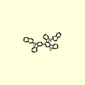 c1ccc2cc(-n3c4ccccc4c4cc(-c5cc6sc7ccccc7c6c6c5c5ccccc5n6-c5ccc6ccccc6c5)ccc43)ccc2c1